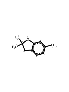 Cc1ccc2c(c1)OC(C(F)(F)F)(C(F)(F)F)C2